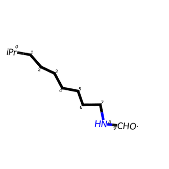 CC(C)CCCCCCCN[C]=O